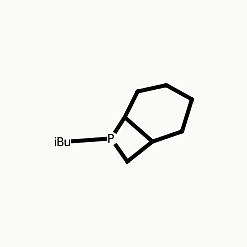 CCC(C)P1CC2CCCCC21